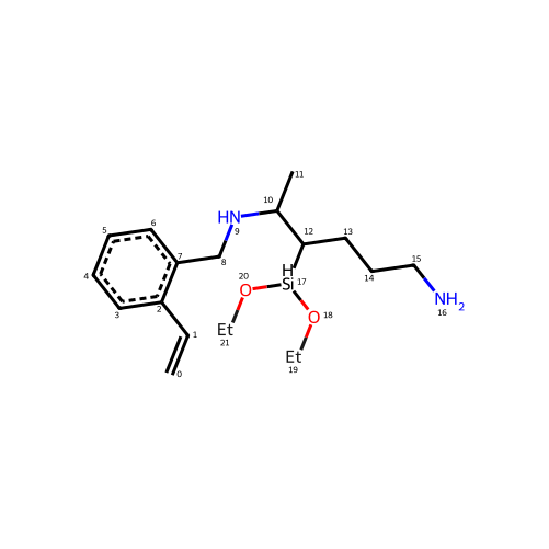 C=Cc1ccccc1CNC(C)C(CCCN)[SiH](OCC)OCC